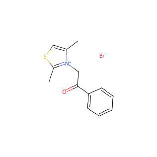 Cc1csc(C)[n+]1CC(=O)c1ccccc1.[Br-]